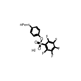 CCCCCc1ccc(OS(=O)(=O)c2c(F)c(F)c(F)c(F)c2F)cc1.I